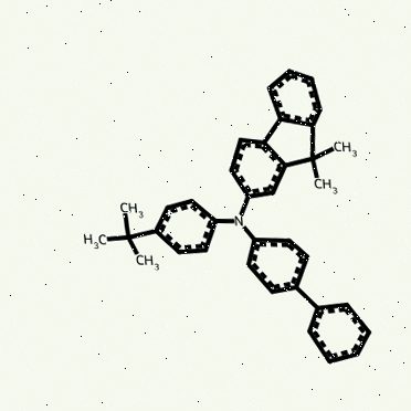 CC(C)(C)c1ccc(N(c2ccc(-c3ccccc3)cc2)c2ccc3c(c2)C(C)(C)c2ccccc2-3)cc1